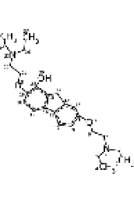 CCN(CC)CCOc1ccc2c(c1)Cc1c-2ccc(OCCN(CC)CC)c1O